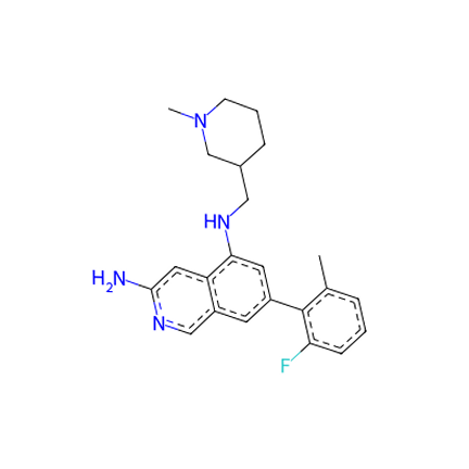 Cc1cccc(F)c1-c1cc(NCC2CCCN(C)C2)c2cc(N)ncc2c1